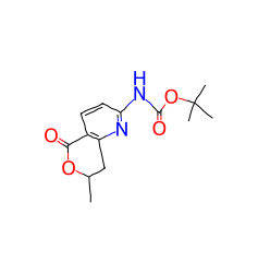 CC1Cc2nc(NC(=O)OC(C)(C)C)ccc2C(=O)O1